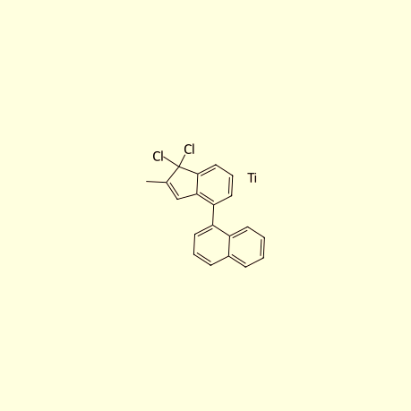 CC1=Cc2c(-c3cccc4ccccc34)cccc2C1(Cl)Cl.[Ti]